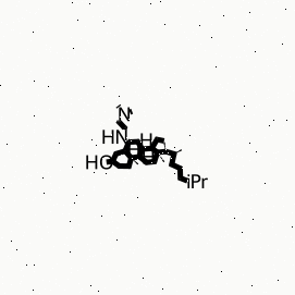 CC(C)CCC[C@@H](C)[C@H]1CC[C@H]2[C@@H]3CC(NCCN(C)C)C4CC(O)CC[C@]4(C)[C@H]3CC[C@]12C